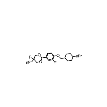 CCCC1CCC(COc2ccc(C3OCC(F)(CCC)CO3)cc2F)CC1